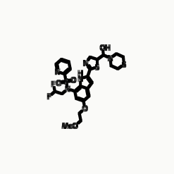 COCCOc1cc(N(CC(F)F)S(=O)(=O)c2ccccn2)c2[nH]c(C3=NCC(C(O)N4CCSCC4)S3)cc2c1